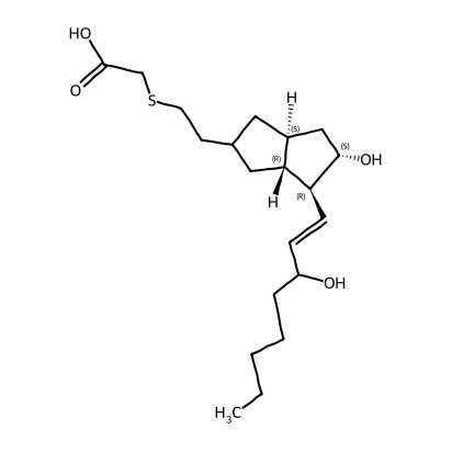 CCCCCC(O)C=C[C@H]1[C@@H]2CC(CCSCC(=O)O)C[C@H]2C[C@@H]1O